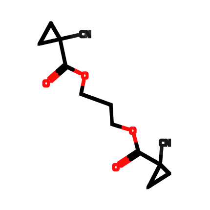 N#CC1(C(=O)OCCCOC(=O)C2(C#N)CC2)CC1